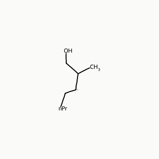 CCCC[CH]C(C)CO